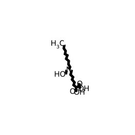 CCCCCCCCCCN(CCO)CCCCCCC(C(=O)O)C(=O)O